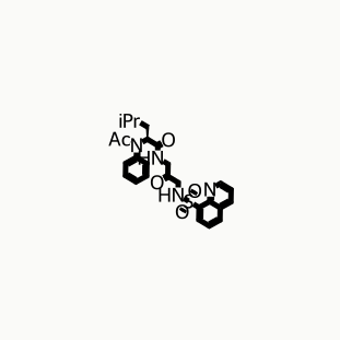 CC(=O)N(c1ccccc1)[C@@H](CC(C)C)C(=O)NCC(=O)CNS(=O)(=O)c1cccc2cccnc12